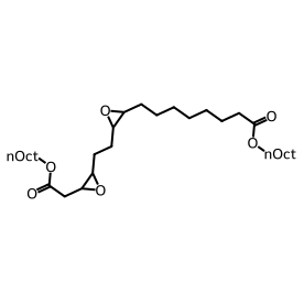 CCCCCCCCOC(=O)CCCCCCCC1OC1CCC1OC1CC(=O)OCCCCCCCC